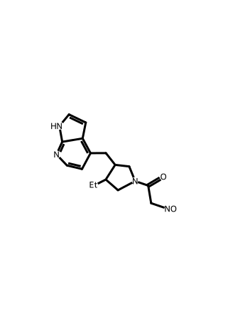 CCC1CN(C(=O)CN=O)CC1Cc1ccnc2[nH]ccc12